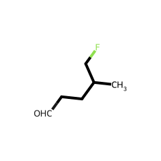 CC(CF)CCC=O